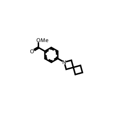 COC(=O)c1ccc(N2CC3(CCC3)C2)cc1